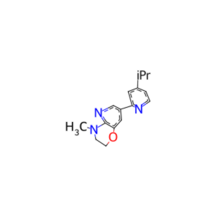 CC(C)c1ccnc(-c2cnc3c(c2)OCCN3C)c1